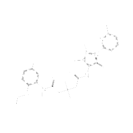 Cc1cccc(-n2c(=O)c(NC(=O)CC(C)(C)CC(=O)Nc3cc(Cl)ccc3OCF)c(C)n2C)n1